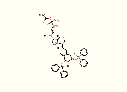 C=C1/C(=C\C=C2/CCC[C@]3(C)[C@@H](C(=C)/C=C/[C@H](O)C(C)(C)OC(=O)OC)CC[C@@H]23)C[C@@H](O[Si](c2ccccc2)(c2ccccc2)C(C)(C)C)C[C@@H]1O[Si](c1ccccc1)(c1ccccc1)C(C)(C)C